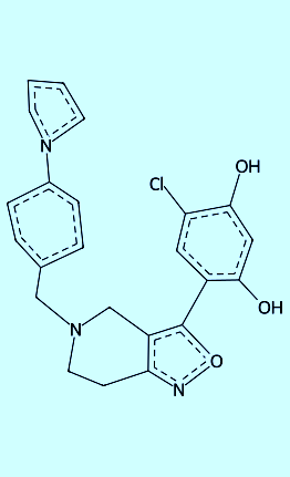 Oc1cc(O)c(-c2onc3c2CN(Cc2ccc(-n4cccc4)cc2)CC3)cc1Cl